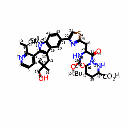 CCn1c(-c2cccnc2[C@H](C)OC)c(CC(C)(C)CO)c2cc(-c3csc(CC(NC(=O)OC(C)(C)C)C(=O)N4CCCC(C(=O)O)N4)n3)ccc21